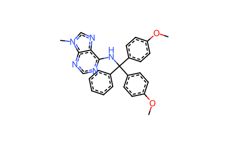 COc1ccc(C(Nc2ncnc3c2ncn3C)(c2ccccc2)c2ccc(OC)cc2)cc1